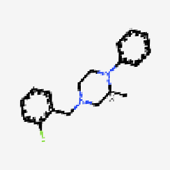 C[C@H]1CN(Cc2ccccc2F)CCN1c1c[c]ccc1